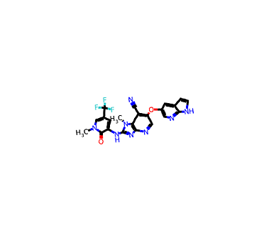 Cn1cc(C(F)(F)F)cc(Nc2nc3ncc(Oc4cnc5[nH]ccc5c4)c(C#N)c3n2C)c1=O